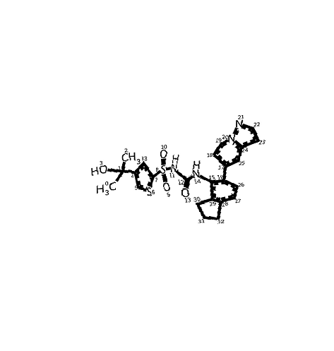 CC(C)(O)c1csc(S(=O)(=O)NC(=O)Nc2c(-c3ccn4nccc4c3)ccc3c2CCC3)c1